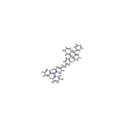 C1=CC2=C(c3ccccc3)c3ccccc3C(c3ccc(/C=C/C4=CC=C(N(c5ccccc5)c5ccccc5)CC4)cc3)C2CC1